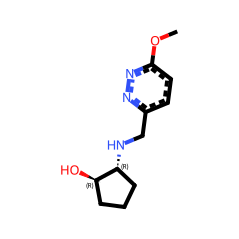 COc1ccc(CN[C@@H]2CCC[C@H]2O)nn1